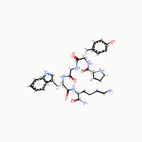 NCCCC[C@H](NC(=O)[C@H](Cc1c[nH]c2ccccc12)NC(=O)CNC(=O)[C@H](Cc1ccc(O)cc1)NC(=O)[C@@H]1CCCN1)C(N)=O